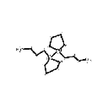 CCCC[PH]1([PH]2(CCCC)CCCC2)CCCC1